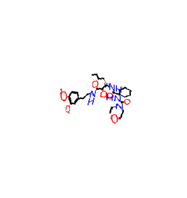 CCCC[C@H](NC(=O)C1(NC(=O)N2CCOCC2)CCCCC1)C(=O)C(=O)NCCc1ccc(OC)c(OC)c1